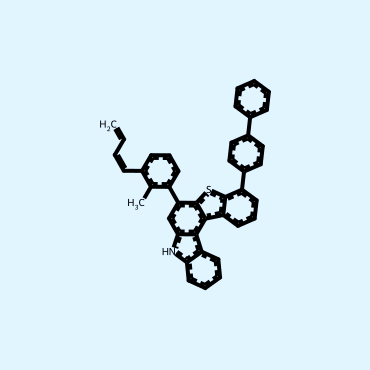 C=C/C=C\c1cccc(-c2cc3[nH]c4ccccc4c3c3c2sc2c(-c4ccc(-c5ccccc5)cc4)cccc23)c1C